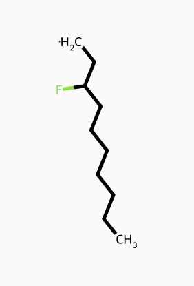 [CH2]CC(F)CCCCCCC